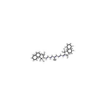 CN1/C(=C/C=C/C=C(Br)/C=C/C=C/C2=[N+](C)c3ccc4ccccc4c3C2(C)C)C(C)(C)c2c1ccc1ccccc21